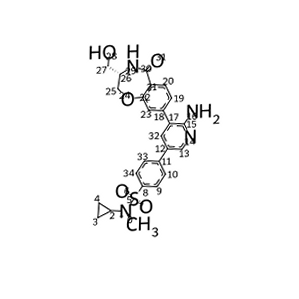 CN(C1CC1)S(=O)(=O)c1ccc(-c2cnc(N)c(-c3ccc4c(c3)OC[C@H](CO)NC4=O)c2)cc1